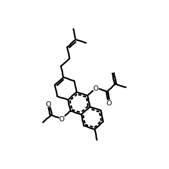 C=C(C)C(=O)Oc1c2c(c(OC(C)=O)c3cc(C)ccc13)CC=C(CCC=C(C)C)C2